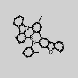 Cc1cc2c3c(c1)-n1c4ccccc4c4cccc(c41)B3N(c1ccccc1C)c1cc3oc4ccccc4c3cc1-2